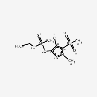 CCOP(C)(=S)Oc1nn(C)c(S(C)(=O)=O)c1Cl